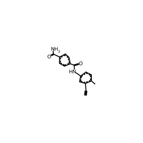 C#Cc1cc(NC(=O)c2ccc(C(N)=O)cc2)ccc1C